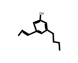 CC=Cc1cc(O)cc(CCCC)c1